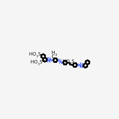 Cc1cc(N=Nc2ccc(C=Cc3ccc(-n4n5c6ccc7ccccc7c6n45)cc3S(=O)(=O)O)cc2)ccc1-n1n2c3cc(S(=O)(=O)O)c4cc(S(=O)(=O)O)ccc4c3n12